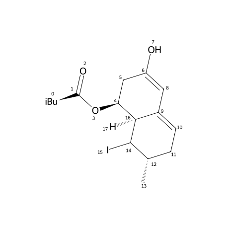 CC[C@H](C)C(=O)O[C@H]1CC(O)=CC2=CC[C@H](C)C(I)[C@H]21